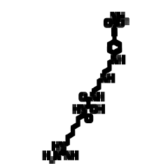 N=C(N)NCCCCCCC(=O)NC(O)C(=O)NCCCNCCCNc1ccc(C#CS(N)(=O)=O)cc1